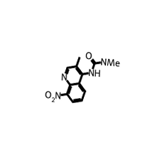 CNC(=O)Nc1c(C)cnc2c([N+](=O)[O-])cccc12